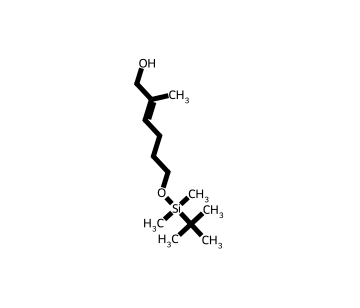 C/C(=C\CCCO[Si](C)(C)C(C)(C)C)CO